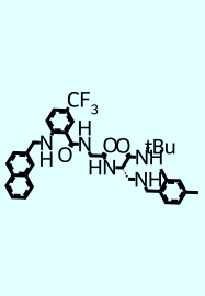 Cc1ccc(CNC[C@H](NC(=O)CNC(=O)c2cc(C(F)(F)F)ccc2NCc2ccc3ccccc3c2)C(=O)NC(C)(C)C)c(C)c1